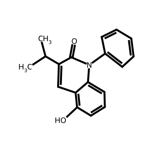 CC(C)c1cc2c(O)cccc2n(-c2ccccc2)c1=O